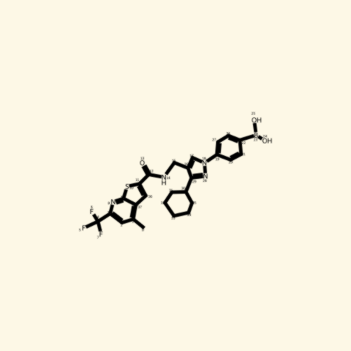 Cc1cc(C(F)(F)F)nc2sc(C(=O)NCc3cn(-c4ccc(B(O)O)cc4)nc3C3CCCCC3)cc12